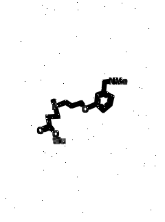 CNCc1cccc(OCCCN(C)CCC(=O)OC(C)(C)C)c1